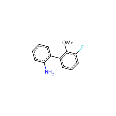 COc1c(F)cccc1-c1ccccc1N